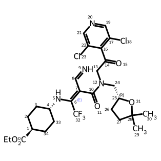 CCOC(=O)[C@H]1CC[C@H](N/C(=C(\C=N)C(=O)N(CC(=O)c2c(Cl)cncc2Cl)C[C@H]2CCC(C)(C)O2)C(F)(F)F)CC1